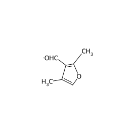 Cc1coc(C)c1[C]=O